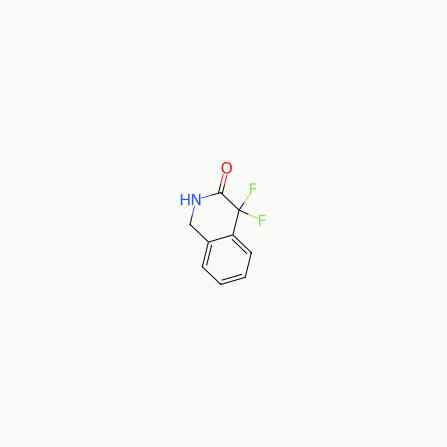 O=C1NCc2ccccc2C1(F)F